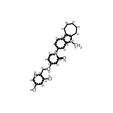 Cn1c2c(c3ccc(-n4ccc(OCc5ncc(Cl)cc5Cl)cc4=O)cc31)CCCCC2